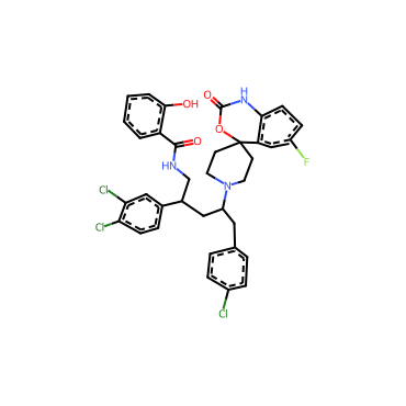 O=C1Nc2ccc(F)cc2C2(CCN(C(Cc3ccc(Cl)cc3)CC(CNC(=O)c3ccccc3O)c3ccc(Cl)c(Cl)c3)CC2)O1